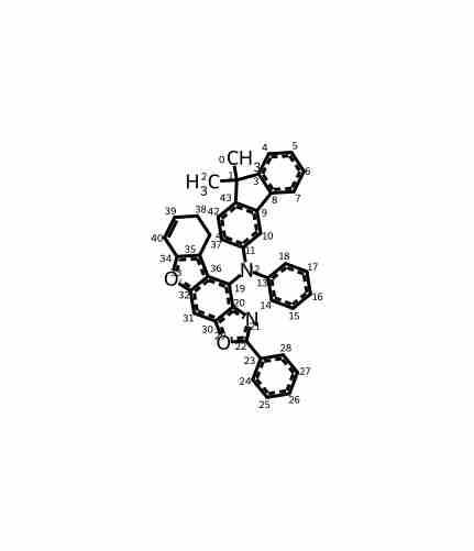 CC1(C)c2ccccc2-c2cc(N(c3ccccc3)c3c4nc(-c5ccccc5)oc4cc4oc5c(c34)CCC=C5)ccc21